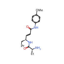 CC[C@H](N)C(=O)N[C@H](/C=C/C(=O)Nc1ccc(OC)cc1)CC(C)C